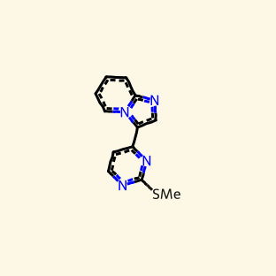 CSc1nccc(-c2cnc3ccccn23)n1